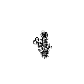 O=C(O)c1ccc(OC2CCCc3c(C(F)(F)F)nn(-c4ccnc(NCc5ccc6c(c5)OC(F)(F)O6)c4)c32)cc1